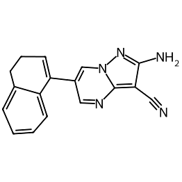 N#Cc1c(N)nn2cc(C3=CCCc4ccccc43)cnc12